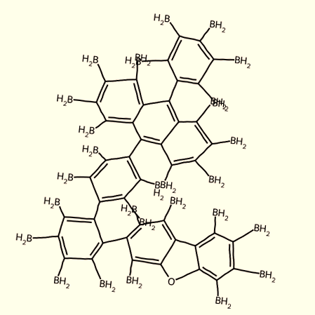 Bc1c(B)c(B)c(-c2c3c(B)c(B)c(B)c(B)c3c(-c3c(B)c(B)c(-c4c(B)c(B)c(B)c(B)c4-c4c(B)c(B)c5c(oc6c(B)c(B)c(B)c(B)c65)c4B)c(B)c3B)c3c(B)c(B)c(B)c(B)c23)c(B)c1B